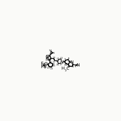 Cc1cc(C#N)nc2ccc(N3CCC(C=Cc4c(-c5ccccc5OC(F)(F)F)noc4C4CC4)CC3)cc12